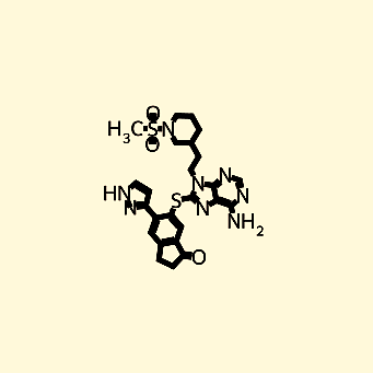 CS(=O)(=O)N1CCCC(CCn2c(Sc3cc4c(cc3-c3cc[nH]n3)CCC4=O)nc3c(N)ncnc32)C1